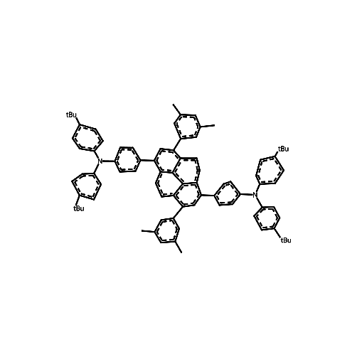 Cc1cc(C)cc(-c2cc(-c3ccc(N(c4ccc(C(C)(C)C)cc4)c4ccc(C(C)(C)C)cc4)cc3)c3ccc4c(-c5cc(C)cc(C)c5)cc(-c5ccc(N(c6ccc(C(C)(C)C)cc6)c6ccc(C(C)(C)C)cc6)cc5)c5ccc2c3c54)c1